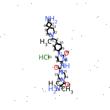 CC(Cc1ccc(-n2ccc(NC(=O)N3CCN(C(=O)C(C)(C)N)CC3)nc2=O)cc1)N1CCC2(CC1)CC(N)C2.Cl